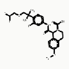 COc1ccc2c(c1)CCN(C(=O)O)C2C(=O)Nc1ccc(C(C)(C)COCC(F)F)c(F)c1